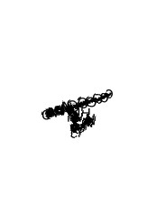 COCCOCCOCCOCCOCCCOc1nn([C@H]2CC[C@H](N3CCOCC3)CC2)cc1Nc1ncc(-c2ccc(Cl)c(O[C@@H](C)Cn3cnnn3)c2)cn1